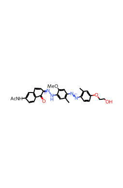 COc1cc(/N=N/c2ccc(OCCO)cc2C)c(C)cc1N/N=C1/C=Cc2cc(NC(C)=O)ccc2C1=O